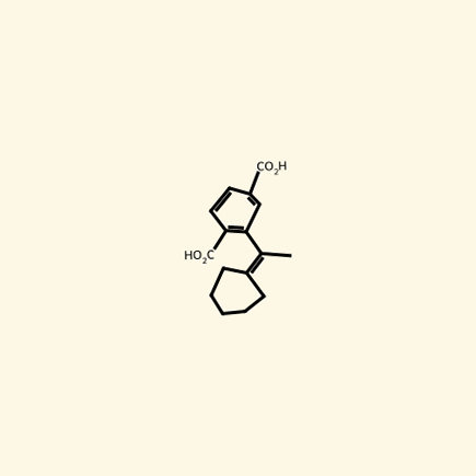 CC(=C1CCCCC1)c1cc(C(=O)O)ccc1C(=O)O